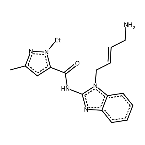 CCn1nc(C)cc1C(=O)Nc1nc2ccccc2n1C/C=C/CN